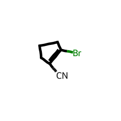 N#CC1=C(Br)CCC1